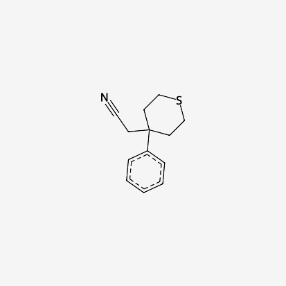 N#CCC1(c2ccccc2)CCSCC1